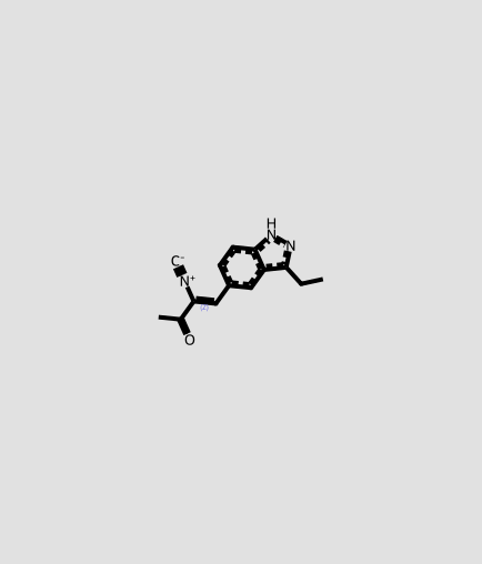 [C-]#[N+]/C(=C\c1ccc2[nH]nc(CC)c2c1)C(C)=O